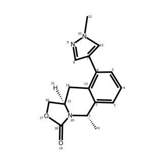 C[C@H]1c2cccc(-c3cnn(C)c3)c2C[C@@H]2COC(=O)N21